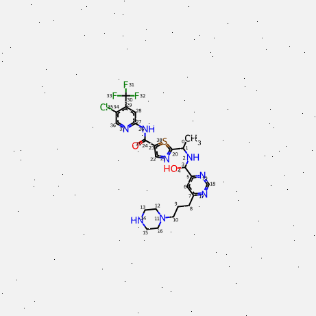 CC(NC(O)c1cc(CCCN2CCNCC2)ncn1)c1ncc(C(=O)Nc2cc(C(F)(F)F)c(Cl)cn2)s1